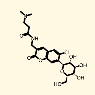 CN(C)CCC(=O)NCc1cc2cc(Cl)c([C@@H]3O[C@H](CO)[C@@H](O)[C@H](O)[C@H]3O)cc2oc1=O